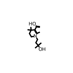 C=C(O)C1=C(C)N(CCC(C)(C)O)CCC1(C)C